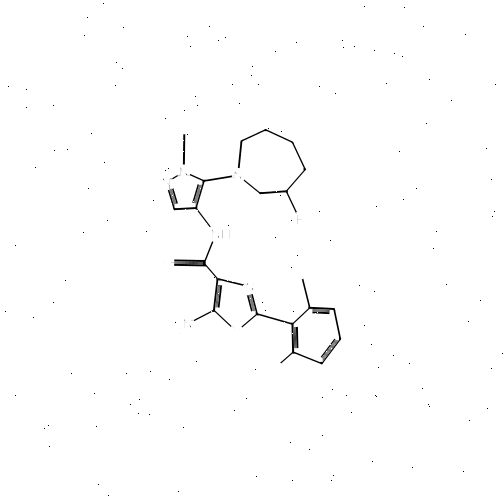 Cn1ncc(NC(=O)c2nc(-c3c(F)cccc3F)sc2N)c1N1CCCCC(F)C1